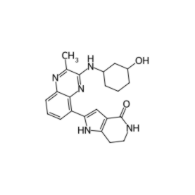 Cc1nc2cccc(-c3cc4c([nH]3)CCNC4=O)c2nc1NC1CCCC(O)C1